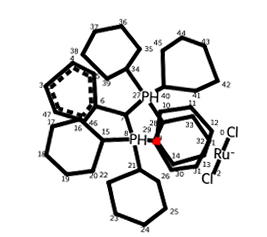 [Cl][Ru-][Cl].c1ccc(C([PH](C2CCCCC2)(C2CCCCC2)C2CCCCC2)[PH](C2CCCCC2)(C2CCCCC2)C2CCCCC2)cc1